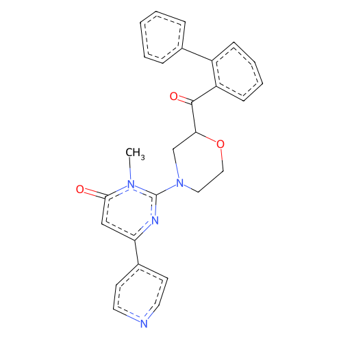 Cn1c(N2CCOC(C(=O)c3ccccc3-c3ccccc3)C2)nc(-c2ccncc2)cc1=O